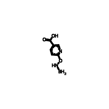 BNOc1ccc(C(=O)O)cn1